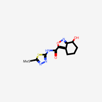 CSc1nnc(NC(=O)c2onc3c2CCCC3O)s1